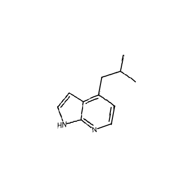 CC(C)Cc1ccnc2[nH]ccc12